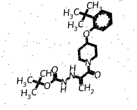 C=C(NNC(=O)OC(C)(C)C)C(=O)N1CCC(Oc2ccccc2C(C)(C)C)CC1